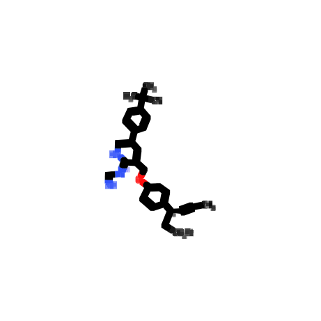 CC#C[C@@H](CC(=O)OCC)c1ccc(OCc2cc(-c3ccc(C(C)(C)C#N)cc3)c[nH]/c2=N\C=N)cc1